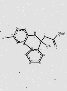 COC(=O)CC1(C)Nc2ccc(F)cc2-c2ccccc21